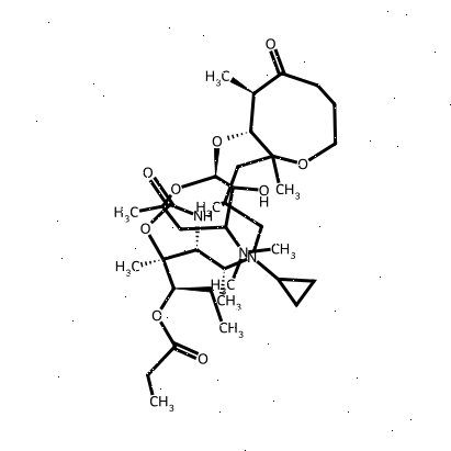 CCC(=O)O[C@H](CC)[C@@]1(C)OC(=O)N[C@@H]1[C@@H](C)N(C[C@H](C)CC1(C)OCCCC(=O)[C@H](C)[C@H]1O[C@@H]1OC(C)CC(N(C)C)C1O)C1CC1